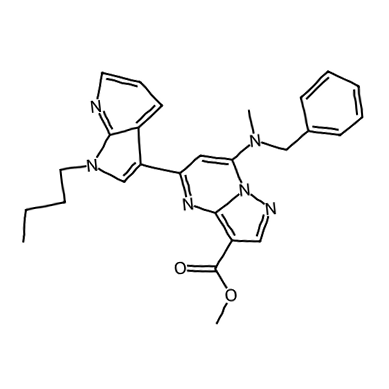 CCCCn1cc(-c2cc(N(C)Cc3ccccc3)n3ncc(C(=O)OC)c3n2)c2cccnc21